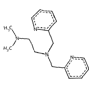 CN(C)CCN(Cc1ccccn1)Cc1ccccn1